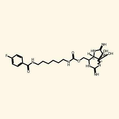 N=C1N[C@H]2C(COC(=O)NCCCCCCNC(=O)c3ccc(F)cc3)NC(=N)N3CCC(O)(O)[C@]23N1